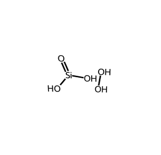 O=[Si](O)O.OO